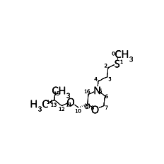 CSCCCN1CCO[C@H](COCC(C)C)C1